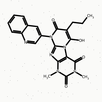 CCCc1c(O)n2c3c(=O)n(C)c(=O)n(C)c3nc2n(-c2cnc3ccccc3c2)c1=O